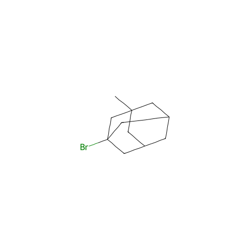 CC12CC3CC(C1)CC(Br)(C3)C2